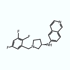 Fc1cc(F)c(F)c(CN2CC[C@@H](Nc3ccc4cnccc4c3)C2)c1